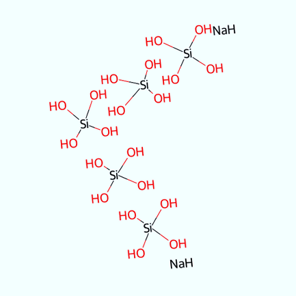 O[Si](O)(O)O.O[Si](O)(O)O.O[Si](O)(O)O.O[Si](O)(O)O.O[Si](O)(O)O.[NaH].[NaH]